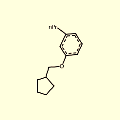 C[CH]Cc1cccc(OCC2CCCC2)c1